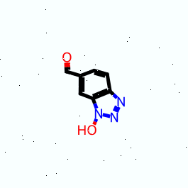 O=Cc1ccc2nnn(O)c2c1